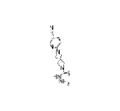 N#Cc1ccc(N2CC3(CN(C(=S)NN)C3)C2)nc1